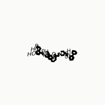 COc1cc2c(cc1CNC[C@H](O)c1ccc(O)c3[nH]c(=O)ccc13)CCCN2C(=O)CCN1CCC(OC(=O)Nc2ccccc2-c2ccccc2)CC1